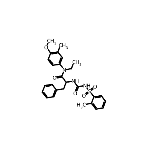 CCN(C(=O)C(Cc1ccccc1)NC(=O)NS(=O)(=O)c1ccccc1C)c1ccc(OC)c(C)c1